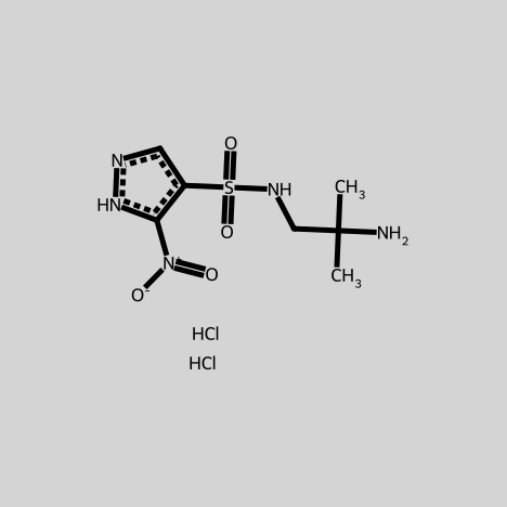 CC(C)(N)CNS(=O)(=O)c1cn[nH]c1[N+](=O)[O-].Cl.Cl